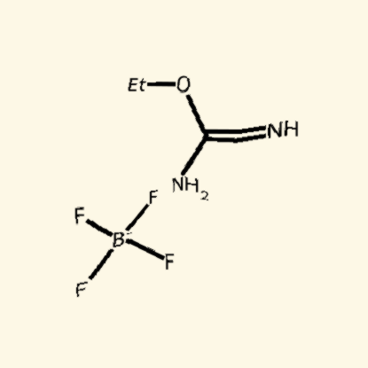 CCOC(=N)N.F[B-](F)(F)F